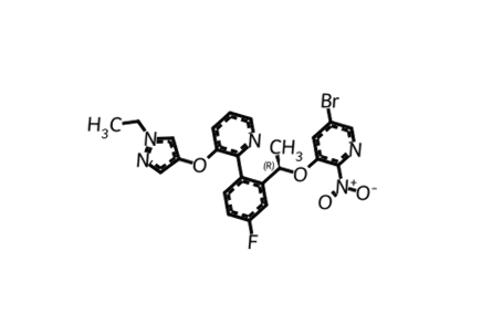 CCn1cc(Oc2cccnc2-c2ccc(F)cc2[C@@H](C)Oc2cc(Br)cnc2[N+](=O)[O-])cn1